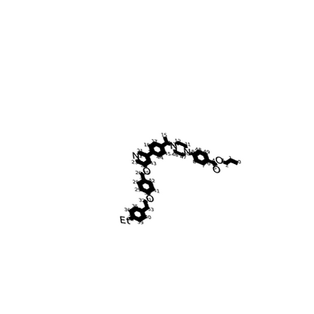 C=CCOC(=O)c1ccc(N2CCN(C(C)c3ccc(-c4cncc(OCc5ccc(OCCc6ccc(CC)cc6)cc5)c4)cc3)CC2)cc1